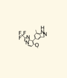 COc1ccn2cc(C(F)(F)F)nc2c1-c1cc(C)c2[nH]ncc2c1